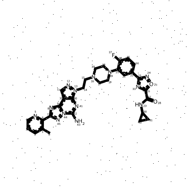 Cc1cccnc1-c1nc2c3cnn(CCN4CCN(c5cc(-c6noc(C(=O)NC7CC7)n6)ccc5F)CC4)c3nc(N)n2n1